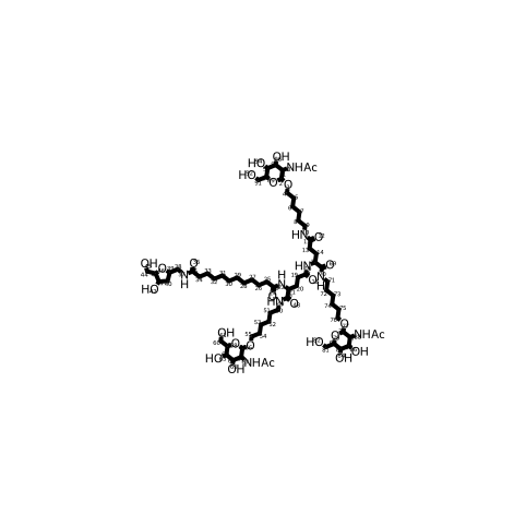 CC(=O)NC1C(OCCCCCCNC(=O)CCC(NC(=O)CCC(NC(=O)CCCCCCCCCCC(=O)NCC2CC(O)C(CO)O2)C(=O)NCCCCCCOC2OC(CO)C(O)C(O)C2NC(C)=O)C(=O)NCCCCCCOC2OC(CO)C(O)C(O)C2NC(C)=O)OC(CO)C(O)C1O